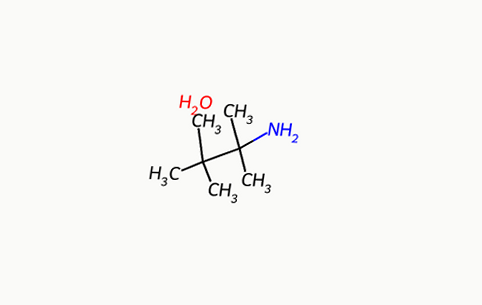 CC(C)(C)C(C)(C)N.O